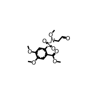 COC(=O)c1cc(OC)c(OC)cc1S(=O)(=O)N(CC=O)OC